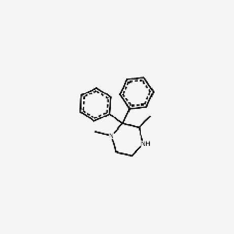 CC1NCCN(C)C1(c1ccccc1)c1ccccc1